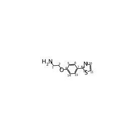 NCCOc1ccc(-c2nccs2)cc1